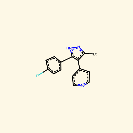 [CH2]Cc1n[nH]c(-c2ccc(F)cc2)c1-c1ccncc1